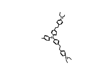 CCN(CC)c1ccc(CCc2ccc(N(c3ccc(C)cc3)c3ccc(CCc4ccc(N(CC)CC)cc4)cc3)cc2)cc1